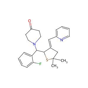 CC1(C)CC(=Cc2ccccn2)C(C(c2ccccc2F)N2CCC(=O)CC2)S1